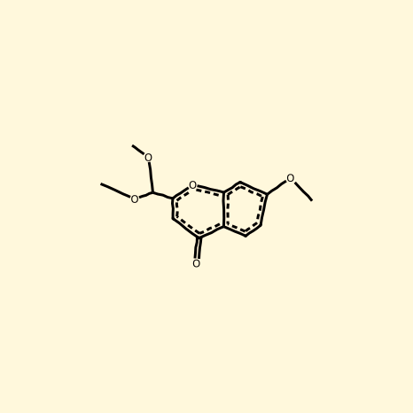 COc1ccc2c(=O)cc(C(OC)OC)oc2c1